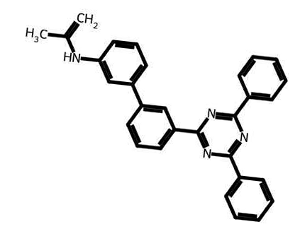 C=C(C)Nc1cccc(-c2cccc(-c3nc(-c4ccccc4)nc(-c4ccccc4)n3)c2)c1